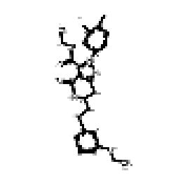 Cc1ccc(-n2nc3c(c2C(=O)NCC#N)C(=O)NC(CCc2cccc(OCC(F)(F)F)c2)C3)cc1F